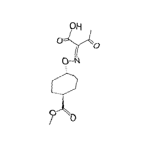 COC(=O)[C@H]1CC[C@H](ON=C(C(C)=O)C(=O)O)CC1